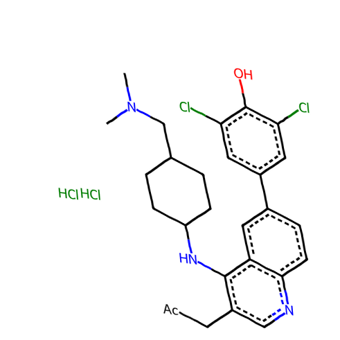 CC(=O)Cc1cnc2ccc(-c3cc(Cl)c(O)c(Cl)c3)cc2c1NC1CCC(CN(C)C)CC1.Cl.Cl